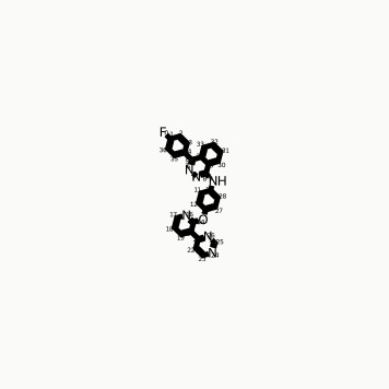 Fc1ccc(-c2nnc(Nc3ccc(Oc4ncccc4-c4ccncn4)cc3)c3ccccc23)cc1